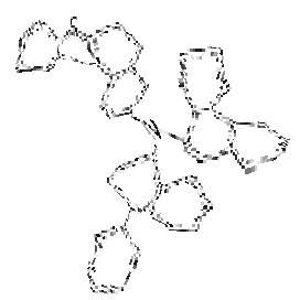 c1ccc(-c2ccc(N(c3ccc4c(ccc5sc6ccccc6c54)c3)c3cc4ccccc4c4ccccc34)c3ccccc23)cc1